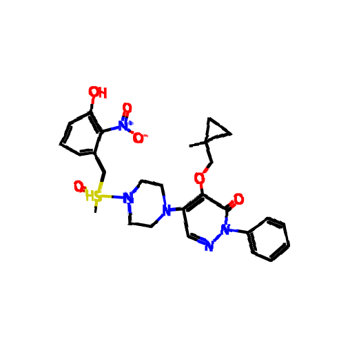 CC1(COc2c(N3CCN([SH](C)(=O)Cc4cccc(O)c4[N+](=O)[O-])CC3)cnn(-c3ccccc3)c2=O)CC1